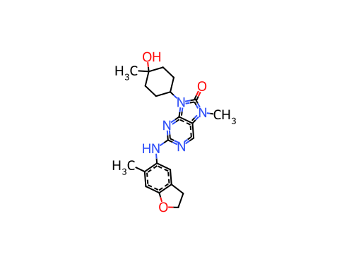 Cc1cc2c(cc1Nc1ncc3c(n1)n(C1CCC(C)(O)CC1)c(=O)n3C)CCO2